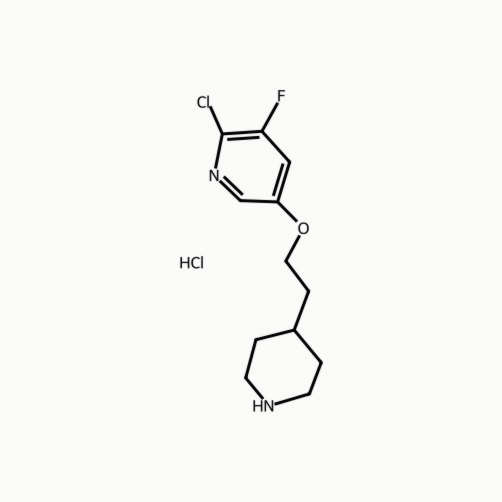 Cl.Fc1cc(OCCC2CCNCC2)cnc1Cl